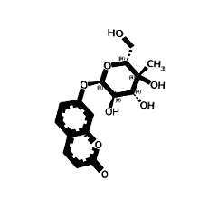 C[C@@]1(O)[C@H](O)[C@@H](O)[C@@H](Oc2ccc3ccc(=O)oc3c2)O[C@@H]1CO